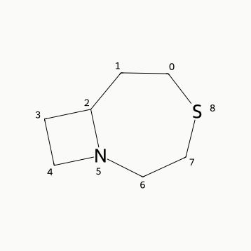 C1CC2CCN2CCS1